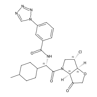 CC1CCC([C@H](NC(=O)c2cccc(-n3cnnn3)c2)C(=O)N2C[C@H](Cl)[C@H]3OCC(=O)[C@H]32)CC1